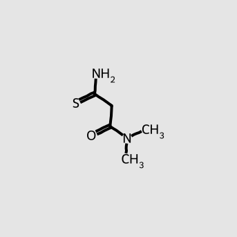 CN(C)C(=O)CC(N)=S